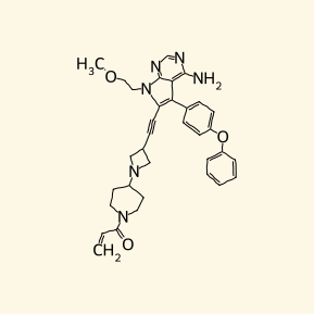 C=CC(=O)N1CCC(N2CC(C#Cc3c(-c4ccc(Oc5ccccc5)cc4)c4c(N)ncnc4n3CCOC)C2)CC1